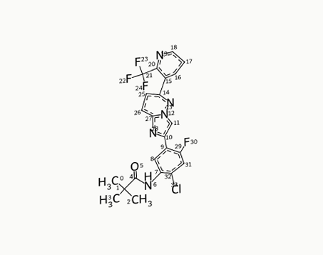 CC(C)(C)C(=O)Nc1cc(-c2cn3nc(-c4cccnc4C(F)(F)F)ccc3n2)c(F)cc1Cl